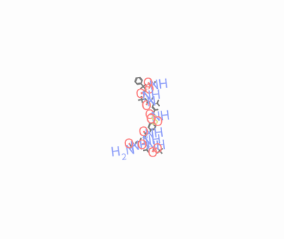 CNC(=O)O[C@H](C(=O)N[C@H](C(=O)N(C)[C@H](/C=C(\C)C(=O)NS(=O)(=O)c1ccc(NC(=O)[C@@H](CCCNC(N)=O)NC(=O)[C@H](NC(=O)OC(C)(C)C)C(C)C)cc1)C(C)C)C(C)(C)C)C(C)(C)c1ccccc1